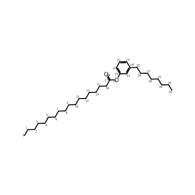 CCCCCCCCCCCCCCCCCC(=O)Oc1cccc(CCCCCCCC)c1